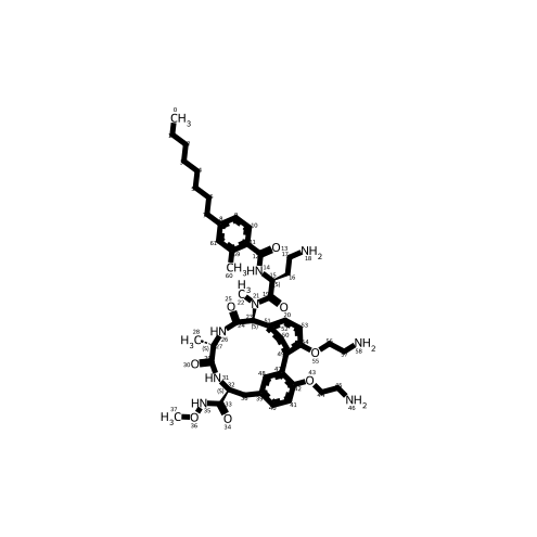 CCCCCCCCc1ccc(C(=O)N[C@@H](CCN)C(=O)N(C)[C@@H]2C(=O)N[C@@H](C)C(=O)N[C@H](C(=O)NOC)Cc3ccc(OCCN)c(c3)-c3cc2ccc3OCCN)c(C)c1